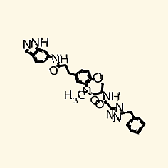 CN1C(=O)C(NC(=O)C2=NC(Cc3ccccc3)N=N2)COc2ccc(CCC(=O)Nc3ccc4cn[nH]c4c3)cc21